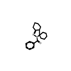 O=C(c1ccccc1)N1N=C2CCCCC2C12CCCCC2